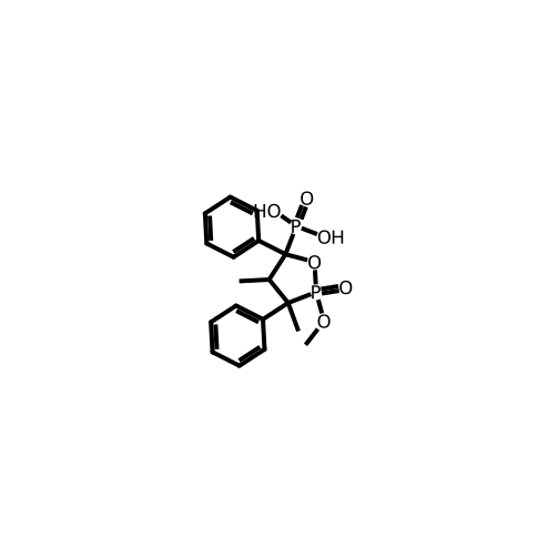 COP1(=O)OC(c2ccccc2)(P(=O)(O)O)C(C)C1(C)c1ccccc1